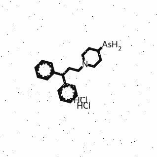 Cl.Cl.[AsH2]C1CCN(CCC(c2ccccc2)c2ccccc2)CC1